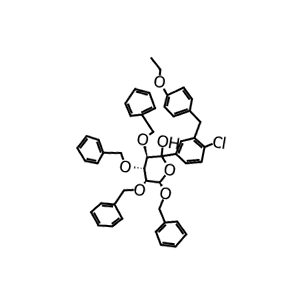 CCOc1ccc(Cc2cc(C3(O)O[C@@H](OCc4ccccc4)[C@H](OCc4ccccc4)[C@H](OCc4ccccc4)[C@H]3OCc3ccccc3)ccc2Cl)cc1